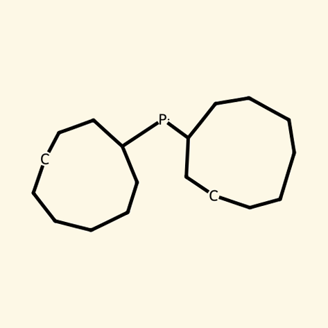 C1CCCCC([P]C2CCCCCCCC2)CCC1